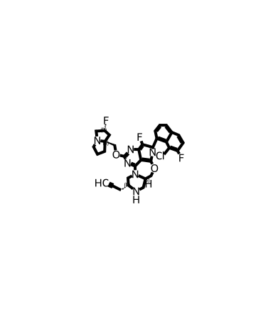 C#CC[C@@H]1CN2c3nc(OC[C@@]45CCCN4C[C@H](F)C5)nc4c(F)c(-c5cccc6ccc(F)c(Cl)c56)nc(c34)OC[C@@H]2CN1